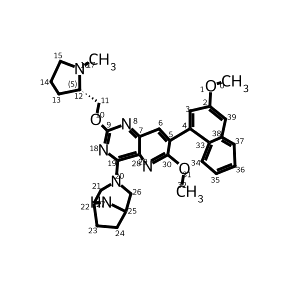 COc1cc(-c2cc3nc(OC[C@@H]4CCCN4C)nc(N4CC5CCC(C4)N5)c3nc2OC)c2ccccc2c1